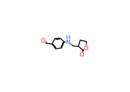 O=Cc1ccc(NCC2CCOC2=O)cc1